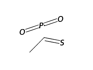 CC=S.O=[P]=O